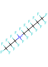 FC(F)(F)C(F)(F)C(F)(F)C(F)(F)C(F)(F)[N+](F)(F)C(F)(F)C(F)(F)C(F)(F)F